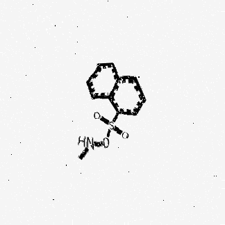 CNOS(=O)(=O)c1cccc2ccccc12